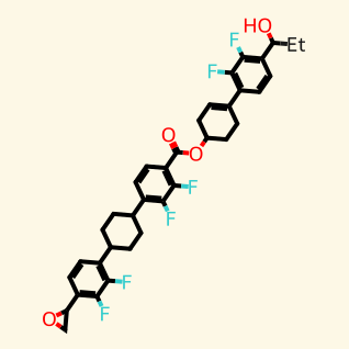 CCC(O)c1ccc(C2=CCC(OC(=O)c3ccc(C4CCC(c5ccc(C6CO6)c(F)c5F)CC4)c(F)c3F)CC2)c(F)c1F